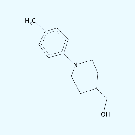 Cc1ccc(N2CCC(CO)CC2)cc1